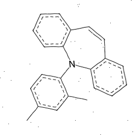 Cc1ccc(N2c3ccccc3C=Cc3ccccc32)c(C)c1